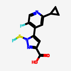 O=C(O)c1cc(-c2cc(C3CC3)ncc2F)n(SF)n1